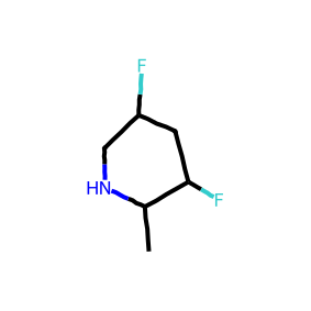 CC1NCC(F)CC1F